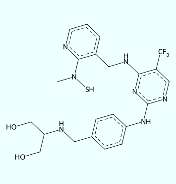 CN(S)c1ncccc1CNc1nc(Nc2ccc(CNC(CO)CO)cc2)ncc1C(F)(F)F